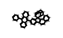 c1ccc(-c2c3ccccc3c(-c3ccc4c(c3)C3(c5c-4ccc4ccccc54)C4CC5CC(C4)CC3C5)c3ccccc23)cc1